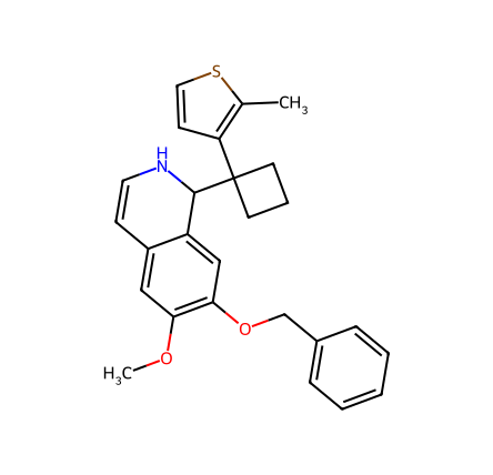 COc1cc2c(cc1OCc1ccccc1)C(C1(c3ccsc3C)CCC1)NC=C2